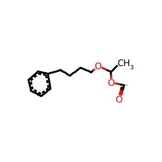 CC(O[C]=O)OCCCCc1ccccc1